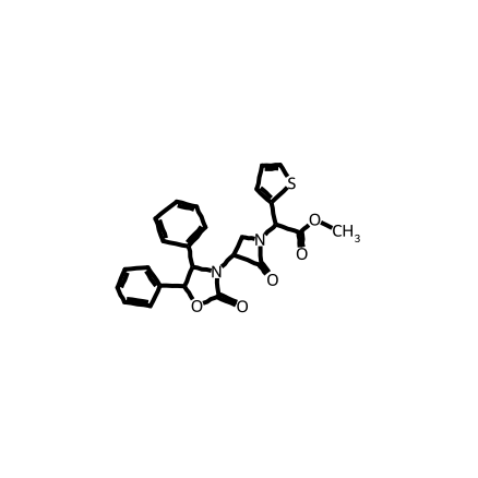 COC(=O)C(c1cccs1)N1CC(N2C(=O)OC(c3ccccc3)C2c2ccccc2)C1=O